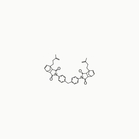 C=C(C)CCC12C=CC(C1)C1C(=O)N(c3ccc(Cc4ccc(N5C(=O)C6C7C=CC(CCC(=C)C)(C7)C6C5=O)cc4)cc3)C(=O)C12